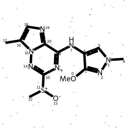 COc1nn(C)cc1Nc1nc([S+](C)[O-])nn2c(C)cnc12